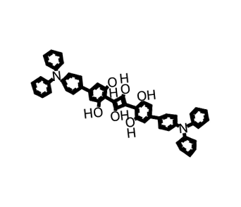 OC1=C(c2c(O)cc(-c3ccc(N(c4ccccc4)c4ccccc4)cc3)cc2O)C(O)=C1c1c(O)cc(-c2ccc(N(c3ccccc3)c3ccccc3)cc2)cc1O